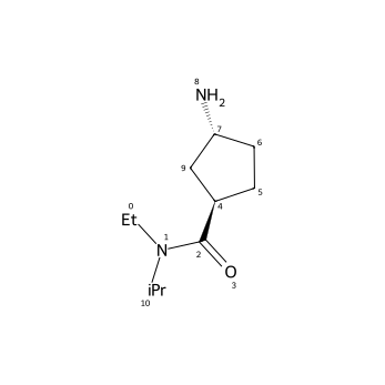 CCN(C(=O)[C@@H]1CC[C@@H](N)C1)C(C)C